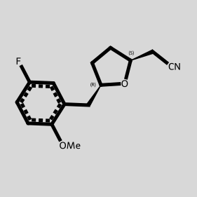 COc1ccc(F)cc1C[C@H]1CC[C@@H](CC#N)O1